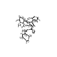 Cc1cccnc1-c1cc(C(=O)NC2CCCCC2)c(C)n1CC1CCCCC1